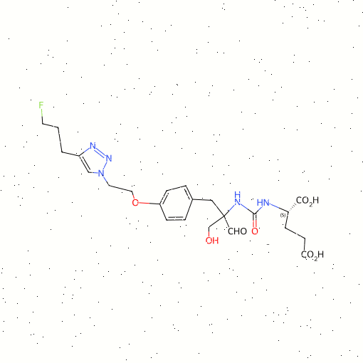 O=CC(CO)(Cc1ccc(OCCn2cc(CCCF)nn2)cc1)NC(=O)N[C@@H](CCC(=O)O)C(=O)O